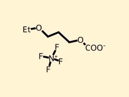 CCOCCCOC(=O)[O-].F[N+](F)(F)F